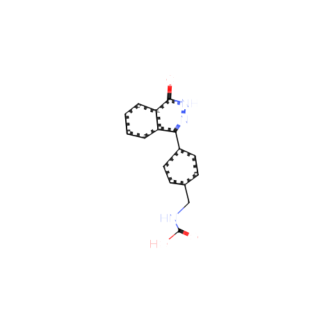 O=C(O)NCc1ccc(-c2n[nH]c(=O)c3ccccc23)cc1